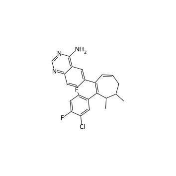 CC1CC=CC(c2ccc3ncnc(N)c3c2)=C(c2cc(Cl)c(F)cc2F)C1C